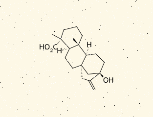 C=C1C[C@]23CC[C@@H]4[C@](C)(CCC[C@@]4(C)C(=O)O)[C@H]2CC[C@@]1(O)C3